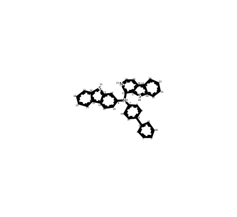 c1ccc(-c2ccc(N(c3ccc4c(c3)sc3ccccc34)c3nccc4c3sc3ccccc34)cc2)cc1